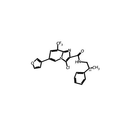 C[C@H](CNC(=O)c1nc2c(C(F)(F)F)cc(-c3ccoc3)cn2c1Cl)c1ccccc1